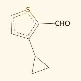 O=Cc1sccc1C1CC1